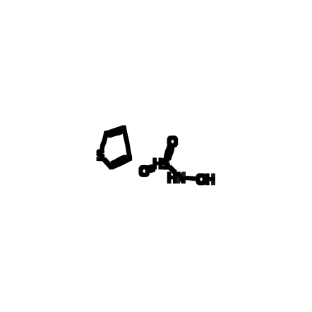 O=[SH](=O)NO.c1ccsc1